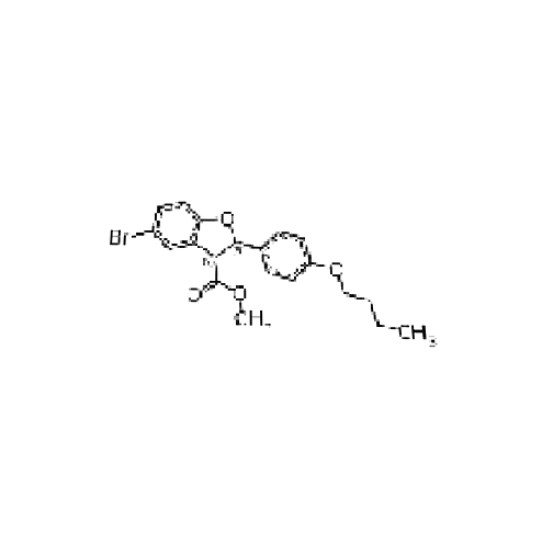 CCCCOc1ccc([C@@H]2Oc3ccc(Br)cc3[C@@H]2C(=O)OC)cc1